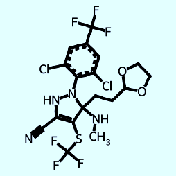 CNC1(CCC2OCCO2)C(SC(F)(F)F)=C(C#N)NN1c1c(Cl)cc(C(F)(F)F)cc1Cl